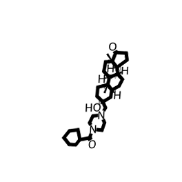 C[C@]12CC[C@](O)(CN3CCN(C(=O)C4CCCCC4)CC3)C[C@@H]1CC[C@@H]1[C@@H]2CC[C@]2(C)C(=O)CC[C@@H]12